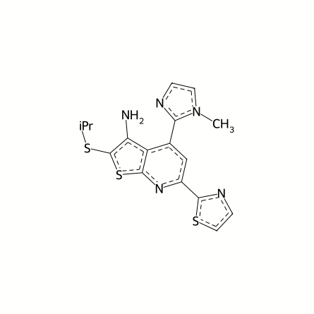 CC(C)Sc1sc2nc(-c3nccs3)cc(-c3nccn3C)c2c1N